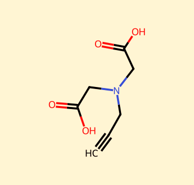 C#CCN(CC(=O)O)CC(=O)O